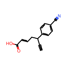 C#CC(C/C=C/C(=O)O)c1ccc(C#N)cc1